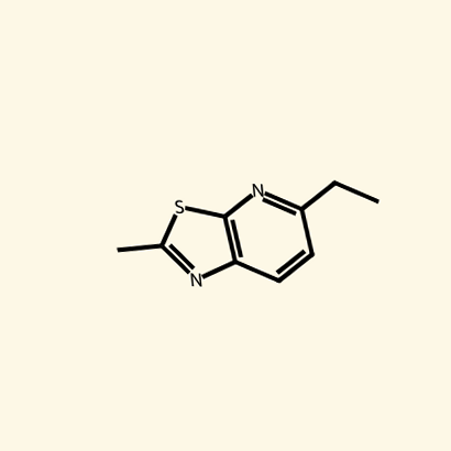 CCc1ccc2nc(C)sc2n1